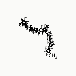 C=Cc1c(F)c(F)c(F)c(OCC(F)(F)OC(F)(F)C(F)(F)OC(F)(F)C(F)(F)OC(F)(F)COc2c(F)c(Br)c(F)c(OCC(F)(F)OC(F)(F)C(F)(F)OC(F)(F)C(F)(F)OC(F)(F)COc3c(F)c(F)c(F)c(C=C)c3F)c2F)c1F